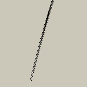 S=S=S=S=S=S=S=S=S=S=S=S=S=S=S=S=S=S=S=S=S=S=S=S=S=S=S=S=S=S=S=S=S=S=S=S=S=S=S=S=S=S=S=S=S=S=S=S=S=S=S=S=S=S=S=S=S=S=S=S=S=S=S=S=S=S=S=S=S=S=S=S=S=S=S=S=S=S=S=S=S=S=S